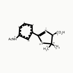 CC(=O)Nc1cccc(C2=N[C@@H](C(=O)O)C(C)(C)S2)c1